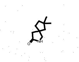 CC1(C)CCC2(CNC(=O)C2)C1